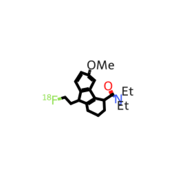 CCN(CC)C(=O)C1CCCC2=C1c1cc(OC)ccc1C2CC[18F]